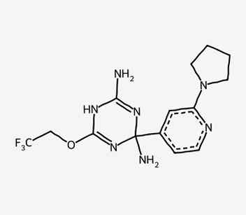 NC1=NC(N)(c2ccnc(N3CCCC3)c2)N=C(OCC(F)(F)F)N1